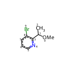 COC(C)c1ncccc1Br